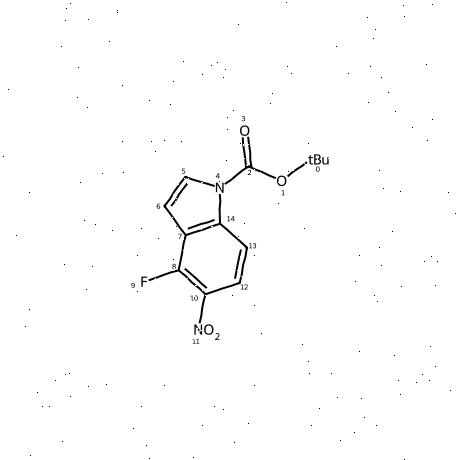 CC(C)(C)OC(=O)n1ccc2c(F)c([N+](=O)[O-])ccc21